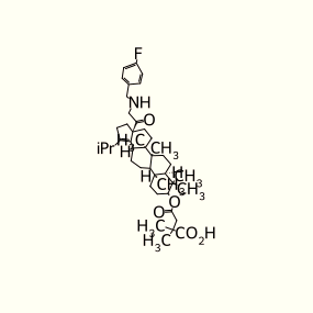 CC(C)C1=C2[C@H]3CC[C@@H]4[C@@]5(C)CC[C@H](OC(=O)CC(C)(C)C(=O)O)C(C)(C)[C@@H]5CC[C@@]4(C)[C@]3(C)CC[C@@]2(C(=O)CNCc2ccc(F)cc2)CC1